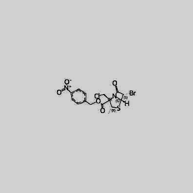 C[C@H]1S[C@H]2[C@@H](Br)C(=O)N2[C@@]1(CCl)C(=O)OCc1ccc([N+](=O)[O-])cc1